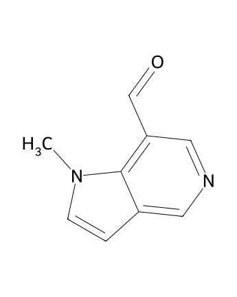 Cn1ccc2cncc(C=O)c21